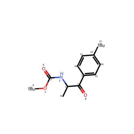 CC(NC(=O)OC(C)(C)C)C(=O)c1ccc(C(C)(C)C)cc1